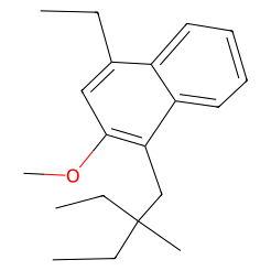 CCc1cc(OC)c(CC(C)(CC)CC)c2ccccc12